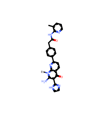 CCn1c(N)c(-c2ncc[nH]2)c(=O)c2ccc(-c3ccc(CC(=O)Nc4ncccc4C)cc3)nc21